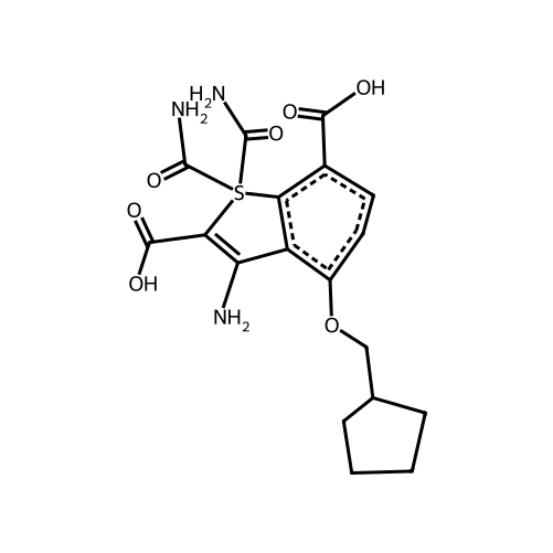 NC(=O)S1(C(N)=O)C(C(=O)O)=C(N)c2c(OCC3CCCC3)ccc(C(=O)O)c21